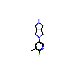 Cc1cc(N2CC3CNCC3C2)cnc1Cl